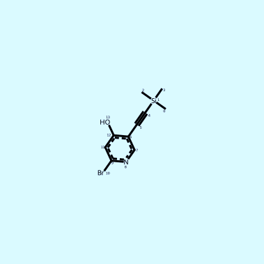 C[Si](C)(C)C#Cc1cnc(Br)cc1O